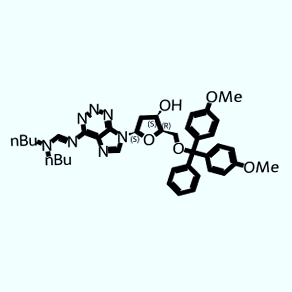 CCCCN(C=Nc1nnnc2c1ncn2[C@@H]1C[C@H](O)[C@@H](COC(c2ccccc2)(c2ccc(OC)cc2)c2ccc(OC)cc2)O1)CCCC